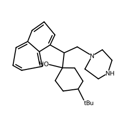 CC(C)(C)C1CCC(O)(C(CN2CCNCC2)c2cccc3ccccc23)CC1